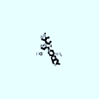 Cc1cc2c(cn1)CC1(CCN(c3nc(C)c(-c4cnn(C)c4C)n4nccc34)CC1)[C@@H]2N.Cl